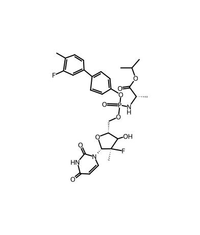 Cc1ccc(-c2ccc(OP(=O)(N[C@@H](C)C(=O)OC(C)C)OC[C@H]3O[C@@H](n4ccc(=O)[nH]c4=O)[C@](C)(F)C3O)cc2)cc1F